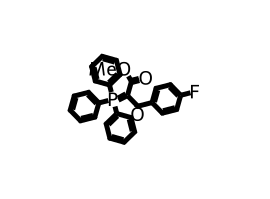 COC(=O)C(C(=O)c1ccc(F)cc1)=P(c1ccccc1)(c1ccccc1)c1ccccc1